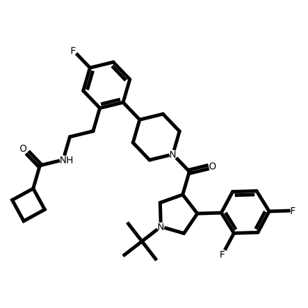 CC(C)(C)N1CC(C(=O)N2CCC(c3ccc(F)cc3CCNC(=O)C3CCC3)CC2)C(c2ccc(F)cc2F)C1